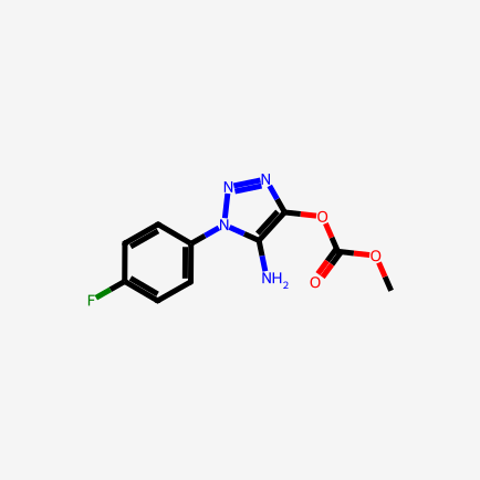 COC(=O)Oc1nnn(-c2ccc(F)cc2)c1N